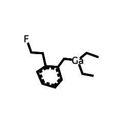 C[CH2][Ga]([CH2]C)[CH2]c1ccccc1CCF